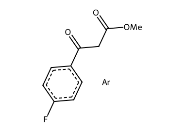 COC(=O)CC(=O)c1ccc(F)cc1.[Ar]